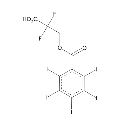 O=C(OCC(F)(F)C(=O)O)c1c(I)c(I)c(I)c(I)c1I